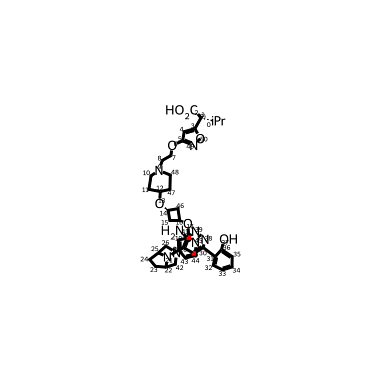 CC(C)[C@@H](C(=O)O)c1cc(OCCN2CCC(O[C@H]3C[C@H](Oc4cc(N5C6CCC5CN(c5cc(-c7ccccc7O)nnc5N)C6)ccn4)C3)CC2)no1